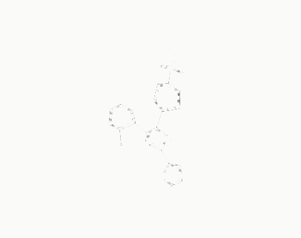 CS(=O)(=O)c1ccc(-c2sc(-c3cccs3)nc2-c2ccccc2F)cc1